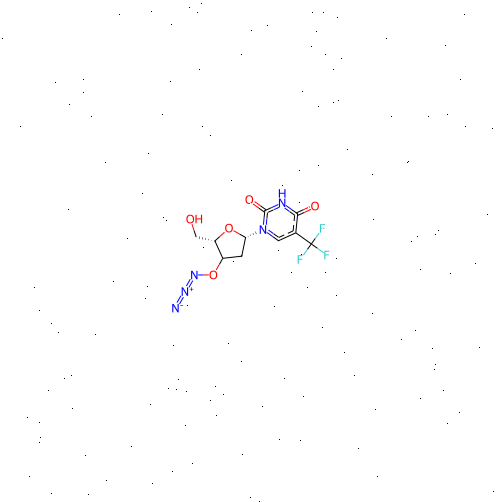 [N-]=[N+]=NOC1C[C@@H](n2cc(C(F)(F)F)c(=O)[nH]c2=O)O[C@H]1CO